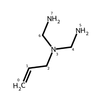 C=CCN(CN)CN